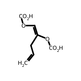 C=CC/C(=C\OC(=O)O)OC(=O)O